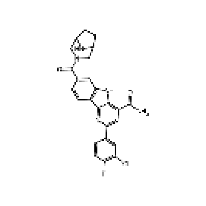 NC(=O)c1cc(-c2ccc(F)c(Cl)c2)nc2c1[nH]c1cc(C(=O)N3CC4CCC(C3)N4)ccc12